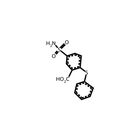 NS(=O)(=O)c1ccc(Sc2ccccc2)c(C(=O)O)c1